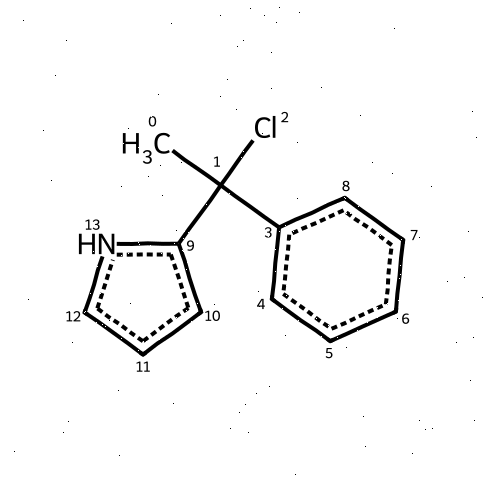 CC(Cl)(c1ccccc1)c1ccc[nH]1